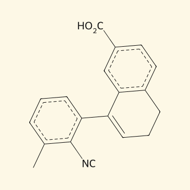 [C-]#[N+]c1c(C)cccc1C1=CCCc2ccc(C(=O)O)cc21